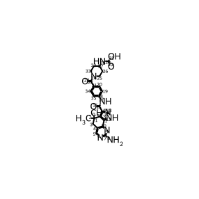 CC1(C)Cc2cnc(N)nc2-c2[nH]nc(C(=O)Nc3ccc(C(=O)N4CCC(NC(=O)O)CC4)cc3)c21